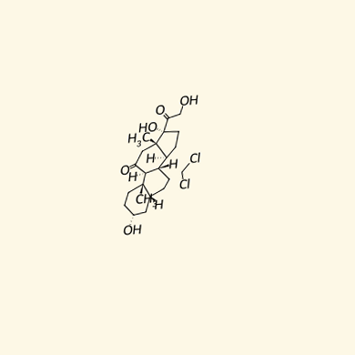 C[C@]12CC[C@@H](O)C[C@H]1CC[C@@H]1[C@@H]2C(=O)C[C@@]2(C)[C@H]1CC[C@]2(O)C(=O)CO.ClCCl